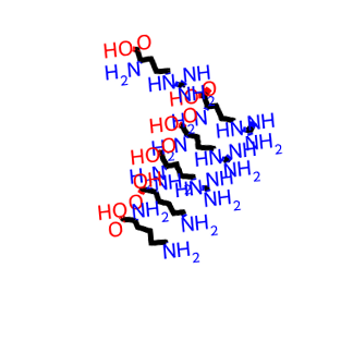 N=C(N)NCCCC(N)C(=O)O.N=C(N)NCCCC(N)C(=O)O.N=C(N)NCCCC(N)C(=O)O.N=C(N)NCCCC(N)C(=O)O.NCCCCC(N)C(=O)O.NCCCCC(N)C(=O)O